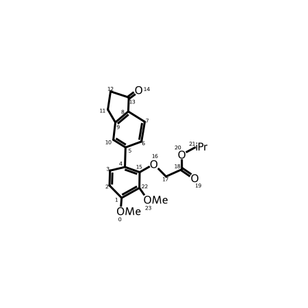 COc1ccc(-c2ccc3c(c2)CCC3=O)c(OCC(=O)OC(C)C)c1OC